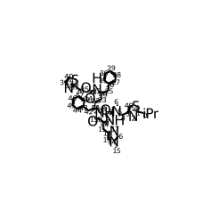 CC(C)c1nc(CN(C)C(=O)N[C@@H](Cc2cn(C)cn2)C(=O)N[C@H](CC[C@H](Cc2ccccc2)NC(=O)OCc2nccs2)Cc2ccccc2)cs1